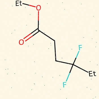 CCOC(=O)CCC(F)(F)CC